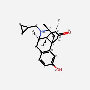 C[C@@H]1[C@H]2[C@H]3Cc4ccc(O)cc4[C@@]2(CCN3CC2CC2)CC(=O)[C@H]1C